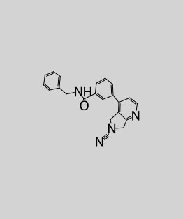 N#CN1Cc2nccc(-c3cccc(C(=O)NCc4ccccc4)c3)c2C1